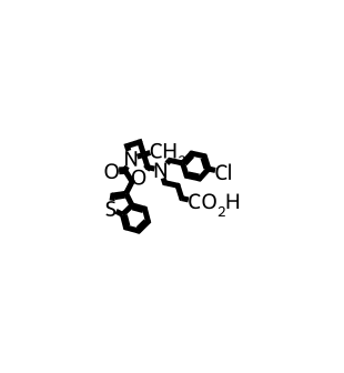 CC1(C(=O)N(CCCC(=O)O)Cc2ccc(Cl)cc2)CCN1C(=O)Cc1csc2ccccc12